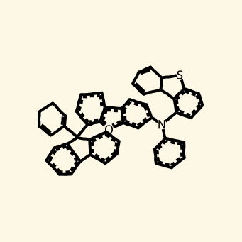 C1=CC2Sc3cccc(N(c4ccccc4)c4ccc5c(c4)oc4c(C6(C7=CCCC=C7)c7ccccc7-c7ccccc76)cccc45)c3C2C=C1